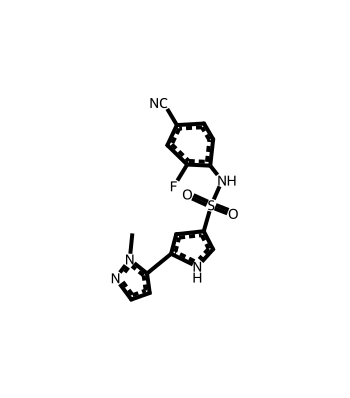 Cn1nccc1-c1cc(S(=O)(=O)Nc2ccc(C#N)cc2F)c[nH]1